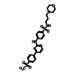 CS(=O)(=O)c1ccc(-c2ccnc(Nc3ccc(S(=O)(=O)NCCCN4CCOCC4)cc3)n2)cc1